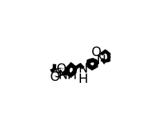 CC(C)S(=O)(=O)Nc1ccc(CNc2ccc(N3CCCCC3=O)cc2)cc1